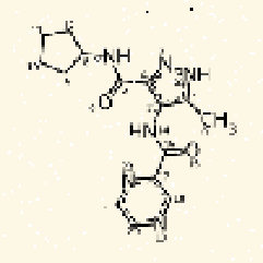 Cc1[nH]nc(C(=O)NC2CCCC2)c1NC(=O)c1cnccn1